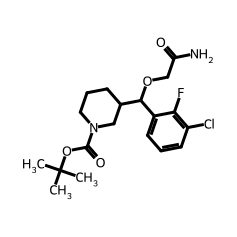 CC(C)(C)OC(=O)N1CCCC(C(OCC(N)=O)c2cccc(Cl)c2F)C1